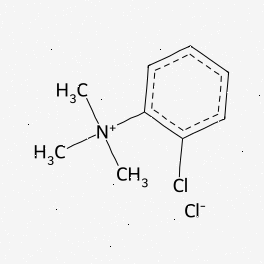 C[N+](C)(C)c1ccccc1Cl.[Cl-]